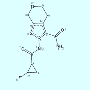 NC(=O)c1c(NC(=O)C2CC2F)sc2c1CCOC2